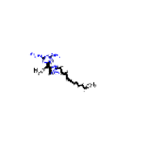 CCCCCCCCCCCc1nc(C(C)c2nc(N)nc(N)n2)c[nH]1